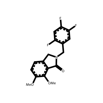 COc1ccc2c(c1OC)C(=O)N(Cc1cc(F)c(F)cc1F)C2